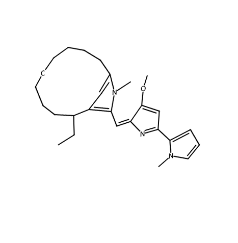 CCC1CCCCCCCCc2cc1c(/C=C1/N=C(c3cccn3C)C=C1OC)n2C